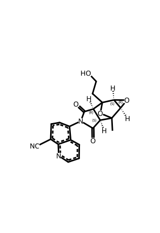 CC12OC(CCO)([C@@H]3C(=O)N(c4ccc(C#N)c5ncccc45)C(=O)[C@@H]31)[C@H]1O[C@H]12